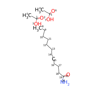 CC(=O)O.CC(=O)O.CCCCCCCCCCCC(N)=O